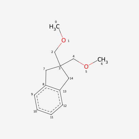 COCC1(COC)Cc2ccccc2C1